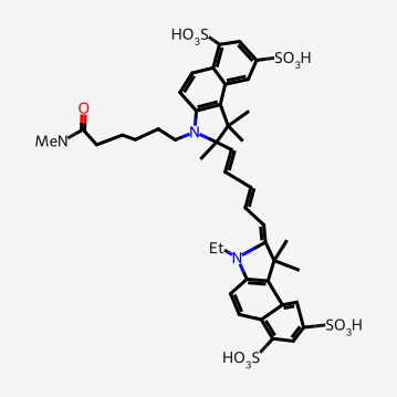 CCN1\C(=C/C=C/C=C/C2(C)N(CCCCCC(=O)NC)c3ccc4c(S(=O)(=O)O)cc(S(=O)(=O)O)cc4c3C2(C)C)C(C)(C)c2c1ccc1c(S(=O)(=O)O)cc(S(=O)(=O)O)cc21